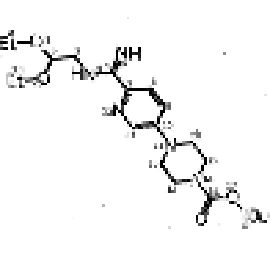 CCOC(CNC(=N)c1ccc(N2CCN(C(=O)OC(C)(C)C)CC2)cn1)OCC